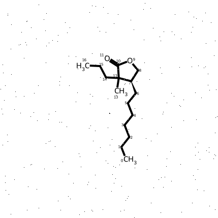 CCCCCCC[C@@H]1COC(=O)C1(C)CCC